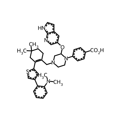 CN(C)c1ccccc1-c1csc(C2=C(CN3CCN(c4ccc(C(=O)O)cc4)C(Oc4cnc5[nH]ccc5c4)C3)CCC(C)(C)C2)c1